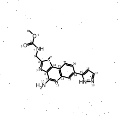 COC(=O)NCc1nc2c(N)nc3cc(-c4ccn[nH]4)ccc3c2s1